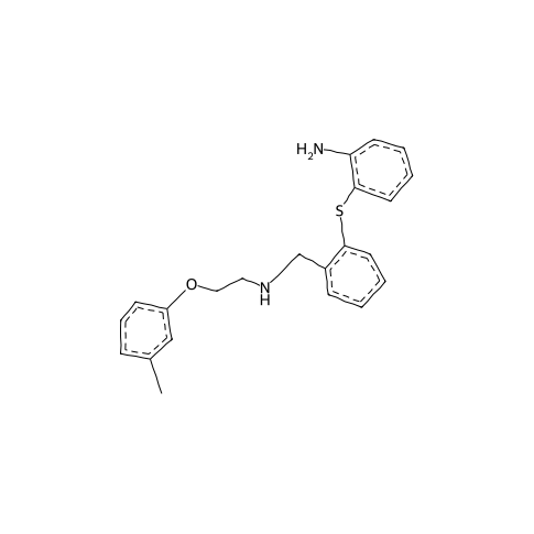 Cc1cccc(OCCNCc2ccccc2Sc2ccccc2N)c1